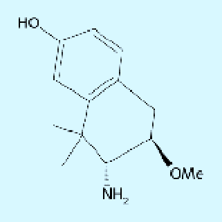 CO[C@@H]1Cc2ccc(O)cc2C(C)(C)[C@H]1N